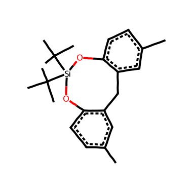 Cc1ccc2c(c1)Cc1cc(C)ccc1O[Si](C(C)(C)C)(C(C)(C)C)O2